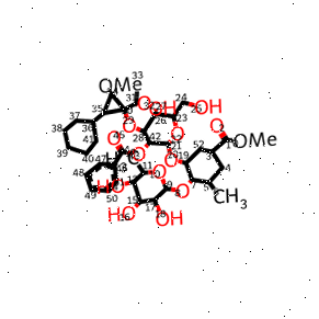 COC(=O)C1CC(C)C(OC2OC(C)C(O)C(O)C2O)C(OC2OC(CO)C(O)C(OC3(C(=O)OC)CC3C3CCCCC3)C2OC(=O)c2ccccc2)C1